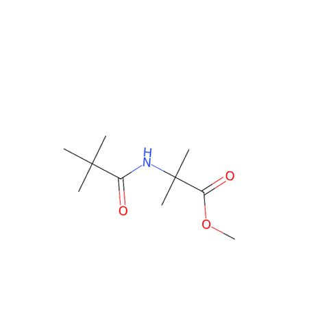 COC(=O)C(C)(C)NC(=O)C(C)(C)C